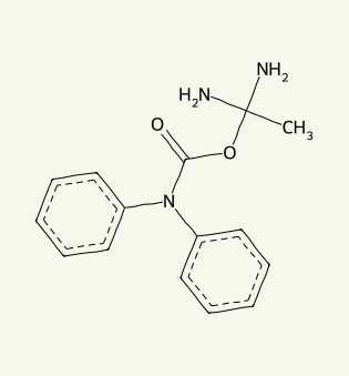 CC(N)(N)OC(=O)N(c1ccccc1)c1ccccc1